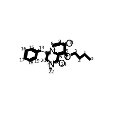 CCCCOc1c2n(ccc1=O)[C@@H](Cc1ccccc1)CN(C)C2=O